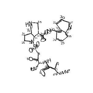 CNC(C)C(=O)NC(C(=O)CS(=O)(=O)N1CCC2NCC(C(=O)Nc3cccc4ncccc34)C21)C(C)(C)C